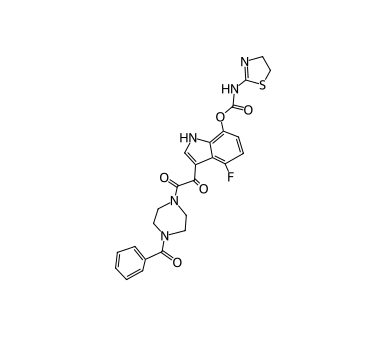 O=C(NC1=NCCS1)Oc1ccc(F)c2c(C(=O)C(=O)N3CCN(C(=O)c4ccccc4)CC3)c[nH]c12